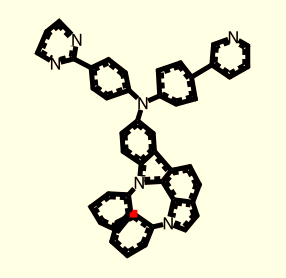 c1ccc(-n2ccc3ccc4c5cc(N(c6ccc(-c7cccnc7)cc6)c6ccc(-c7ncccn7)cc6)ccc5n(-c5ccccc5)c4c32)cc1